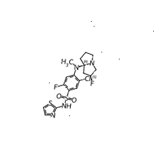 CN(c1cc(F)c(S(=O)(=O)Nc2nccs2)cc1Cl)[C@@]12CCCN1C[C@@H](F)C2